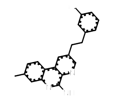 Cc1ccc2c(c1)nc(N)c1ncc(CCc3cccc(Cl)c3)cc12